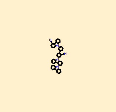 N#Cc1cc(-n2c3ccccc3c3c(-n4c5ccccc5c5ccccc54)cccc32)ccc1-c1cccc(-n2c3ccccc3c3c(C#N)cccc32)c1